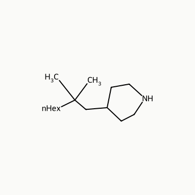 CCCCCCC(C)(C)CC1CCNCC1